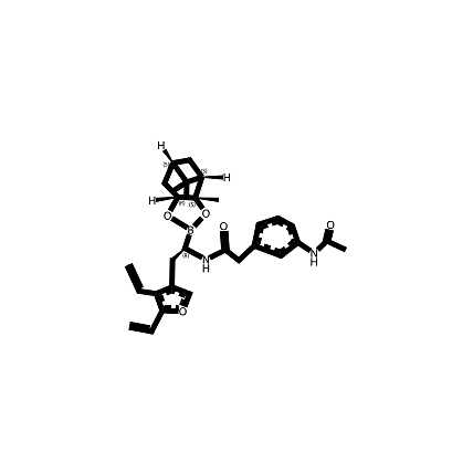 C=Cc1occ(C[C@H](NC(=O)Cc2cccc(NC(C)=O)c2)B2O[C@@H]3C[C@@H]4C[C@@H](C4(C)C)[C@]3(C)O2)c1C=C